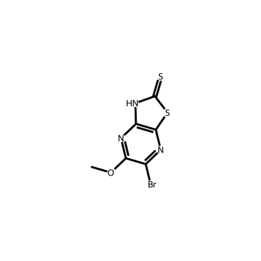 COc1nc2[nH]c(=S)sc2nc1Br